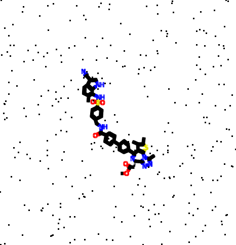 COC(=O)C[C@@H]1N=C(c2ccc(-c3ccc(C(=O)NCc4ccc(S(=O)(=O)Nc5c(C)ccc6c(C#N)c[nH]c56)cc4)cc3)cc2)c2c(sc(C)c2C)-n2c(C)nnc21